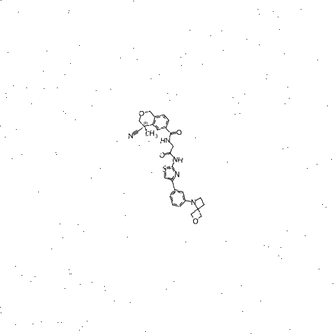 C[C@@]1(C#N)COCc2ccc(C(=O)NCC(=O)Nc3nc(-c4cccc(N5CCC56COC6)c4)cs3)cc21